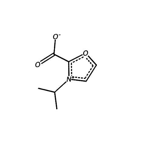 CC(C)[n+]1ccoc1C(=O)[O-]